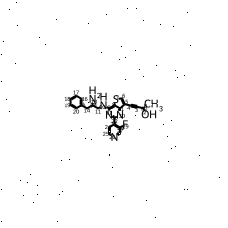 C[C@H](O)C#Cc1csc2c(NC[C@H](N)Cc3ccccc3)nc(-c3ccncc3F)nc12